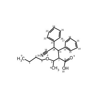 CCCCOC(C)C(C(=O)O)C(c1ccccc1)C(C#N)c1ccccc1